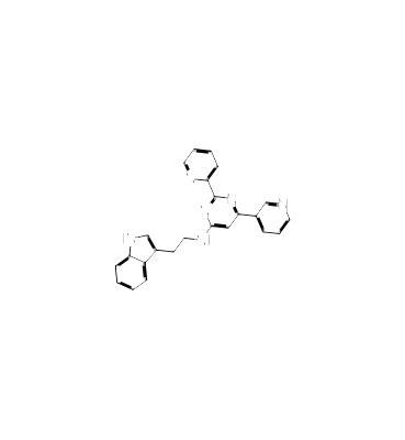 c1ccc(-c2nc(NCCc3c[nH]c4ccccc34)cc(-c3cccnc3)n2)nc1